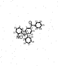 O=C(C1=CCC(Nc2ccccc2[N+](=O)[O-])(c2ccccc2)C=C1)c1ccccc1